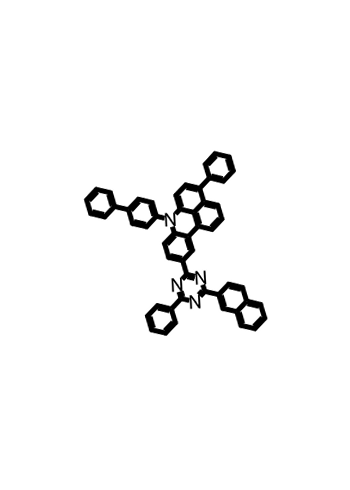 c1ccc(-c2ccc(N3c4ccc(-c5nc(-c6ccccc6)nc(-c6ccc7ccccc7c6)n5)cc4-c4cccc5c(-c6ccccc6)ccc3c45)cc2)cc1